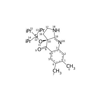 Cc1cc2c(cc1C)C(=O)[C@]1(O[Si](C(C)C)(C(C)C)C(C)C)CCNC1=N2